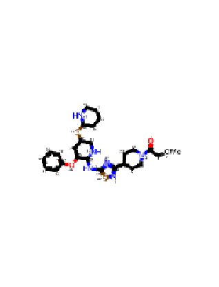 COCC(=O)N1CCC(c2nsc(NC3NCC(SC4CCCCN4)CC3Oc3ccccc3)n2)CC1